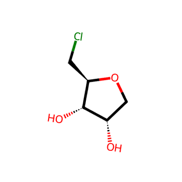 O[C@H]1[C@@H](O)CO[C@@H]1CCl